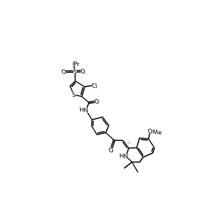 COc1ccc2c(c1)/C(=C/C(=O)c1ccc(NC(=O)c3scc(S(=O)(=O)C(C)C)c3Cl)cc1)NC(C)(C)C2